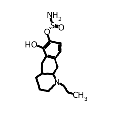 CCCN1CCCC2Cc3c(ccc(OS(N)=O)c3O)CC21